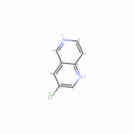 Clc1cnc2c[c]ncc2c1